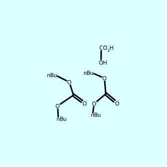 CCCCOC(=O)OCCCC.CCCCOC(=O)OCCCC.O=C(O)O